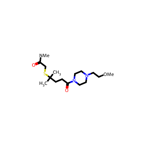 CNC(=O)CSC(C)(C)CCC(=O)N1CCN(CCOC)CC1